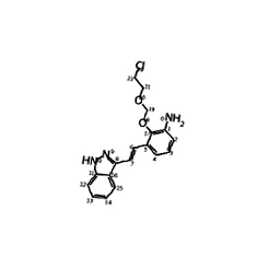 Nc1cccc(C=Cc2n[nH]c3ccccc23)c1OCOCCCl